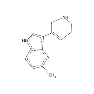 Cc1ccc2[nH]cc(C3=CCCNC3)c2n1